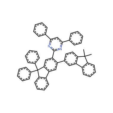 CC1(C)c2ccccc2-c2cc(-c3cc4c(cc3-c3nc(-c5ccccc5)cc(-c5ccccc5)n3)C(c3ccccc3)(c3ccccc3)c3ccccc3-4)ccc21